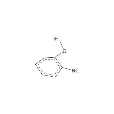 [C-]#[N+]c1ccccc1OC(C)C